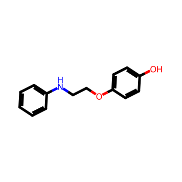 Oc1ccc(OCCNc2ccccc2)cc1